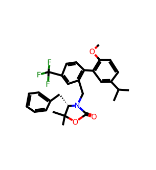 COc1ccc(C(C)C)cc1-c1ccc(C(F)(F)F)cc1CN1C(=O)OC(C)(C)[C@@H]1Cc1ccccc1